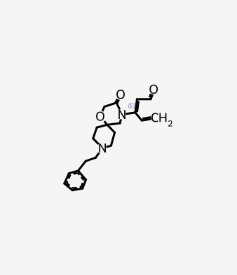 C=C/C(=C\C=O)N1CC2(CCN(CCc3ccccc3)CC2)OCC1=O